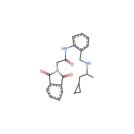 CC(CC1CC1)NCc1ccccc1NC(=O)CN1C(=O)c2ccccc2C1=O